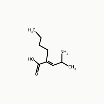 CCCC/C(=C\C(C)N)C(=O)O